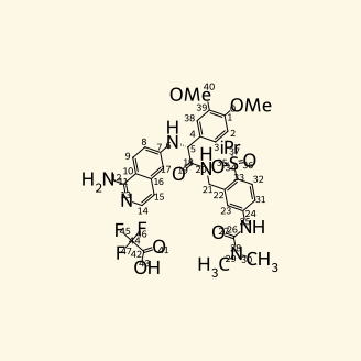 COc1ccc([C@@H](Nc2ccc3c(N)nccc3c2)C(=O)NCc2cc(NC(=O)N(C)C)ccc2S(=O)(=O)C(C)C)cc1OC.O=C(O)C(F)(F)F